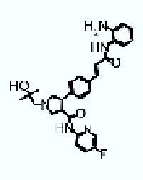 CC(C)(O)CN1CC(C(=O)Nc2ccc(F)cn2)C(c2ccc(/C=C/C(=O)Nc3ccccc3N)cc2)C1